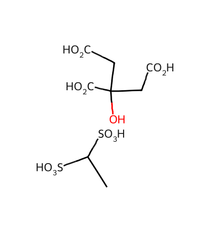 CC(S(=O)(=O)O)S(=O)(=O)O.O=C(O)CC(O)(CC(=O)O)C(=O)O